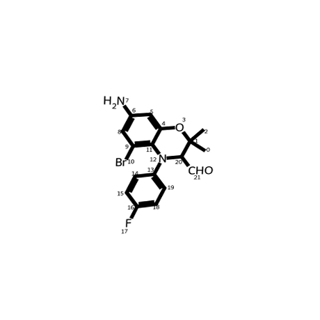 CC1(C)Oc2cc(N)cc(Br)c2N(c2ccc(F)cc2)C1C=O